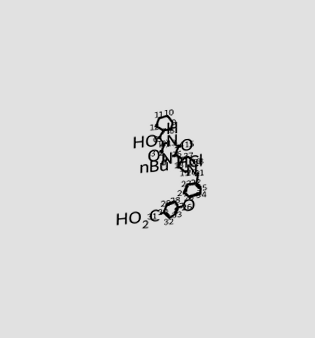 CCCCN1C(=O)[C@@H](C(O)C2CCCCC2)NC(=O)C1C1CCN(Cc2ccc(Oc3ccc(C(=O)O)cc3)cc2)CC1.Cl